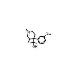 COc1cccc(C2(C(C)(C)O)CCN(C)CC2C)c1